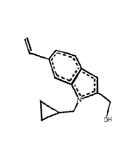 C=Cc1ccc2cc(CO)n(CC3CC3)c2c1